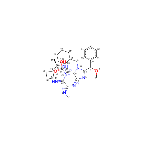 C\N=C(/N=C1/N=C(C(OC)c2ccccc2)N(CC2CCCCC2)/C1=C\N[C@H](C)C1CCC1)C(=N)NC(=O)O